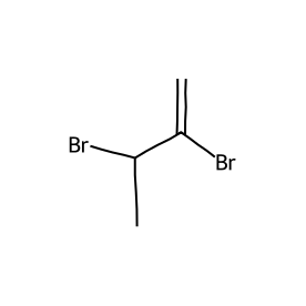 C=C(Br)C(C)Br